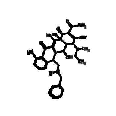 CCN(C)[C@@H]1C(O)=C(C(N)=O)C(=O)[C@@]2(O)C(O)=C3C(=O)c4c(O)cccc4C(C[S+]([O-])Cc4ccccc4)C3C(O)C12